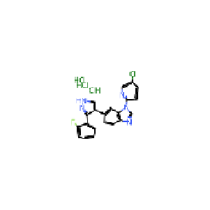 Cl.Cl.Cl.Fc1ccccc1-c1n[nH]cc1-c1ccc2ncn(-c3ccc(Cl)cn3)c2c1